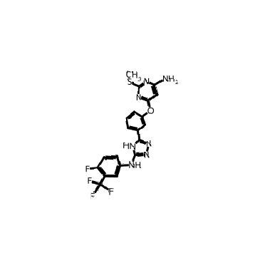 CSc1nc(N)cc(Oc2cccc(-c3nnc(Nc4ccc(F)c(C(F)(F)F)c4)[nH]3)c2)n1